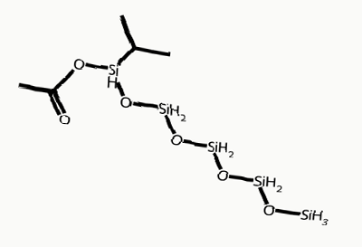 CC(=O)O[SiH](O[SiH2]O[SiH2]O[SiH2]O[SiH3])C(C)C